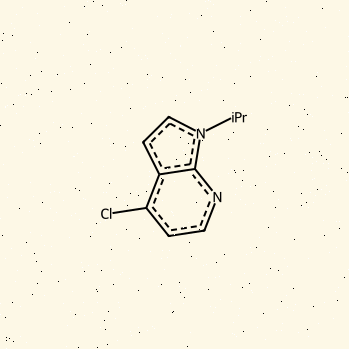 CC(C)n1ccc2c(Cl)ccnc21